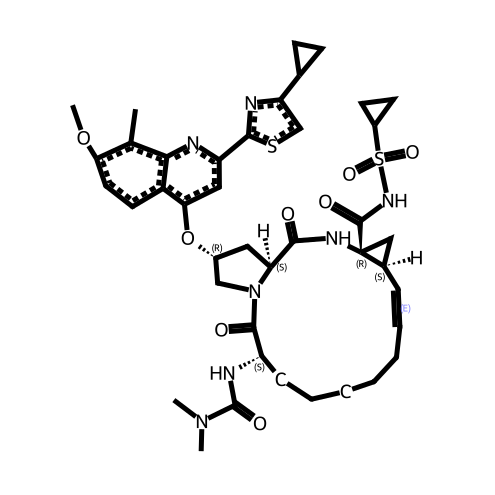 COc1ccc2c(O[C@@H]3C[C@H]4C(=O)N[C@]5(C(=O)NS(=O)(=O)C6CC6)C[C@H]5/C=C/CCCCC[C@H](NC(=O)N(C)C)C(=O)N4C3)cc(-c3nc(C4CC4)cs3)nc2c1C